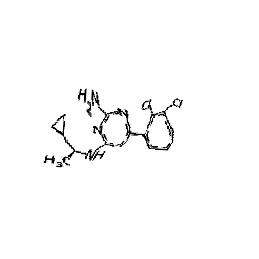 C[C@H](Nc1cc(-c2cccc(Cl)c2Cl)nc(N)n1)C1CC1